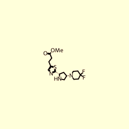 COC(=O)CCc1cnc([C@@H]2C[C@H](N3CCC(F)(F)CC3)CN2)s1